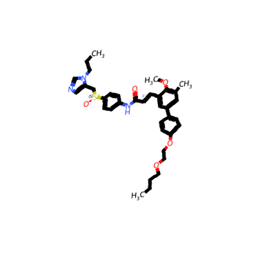 CCCCOCCOc1ccc(-c2cc(C)c(OC)c(/C=C/C(=O)Nc3ccc([S@+]([O-])Cc4cncn4CCC)cc3)c2)cc1